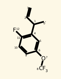 [CH2]C(C=C)c1cc(OC(F)(F)F)ccc1F